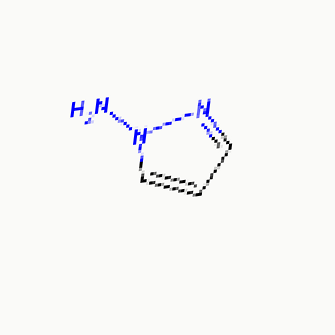 Nn1cccn1